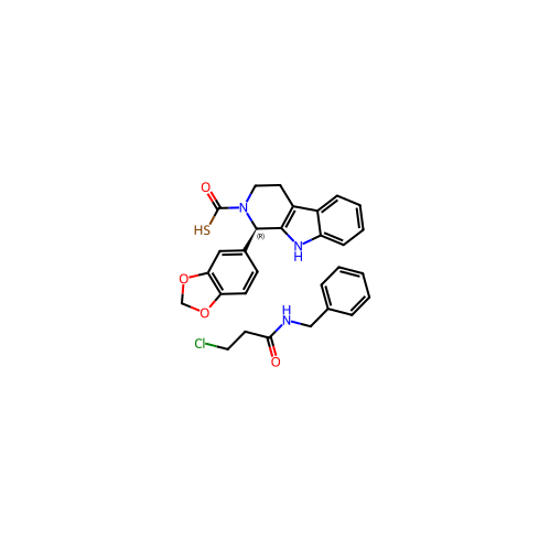 O=C(CCCl)NCc1ccccc1.O=C(S)N1CCc2c([nH]c3ccccc23)[C@H]1c1ccc2c(c1)OCO2